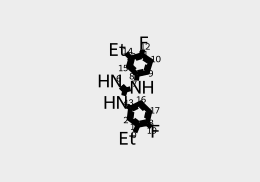 CCc1cc(NC(=N)Nc2ccc(F)c(CC)c2)ccc1F